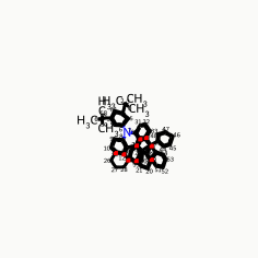 CC(C)(C)c1cc(N(c2ccccc2-c2cccc3cccc(C4CCCCC4)c23)c2cccc3c2-c2ccccc2C3(c2ccccc2)c2ccccc2)cc(C(C)(C)C)c1